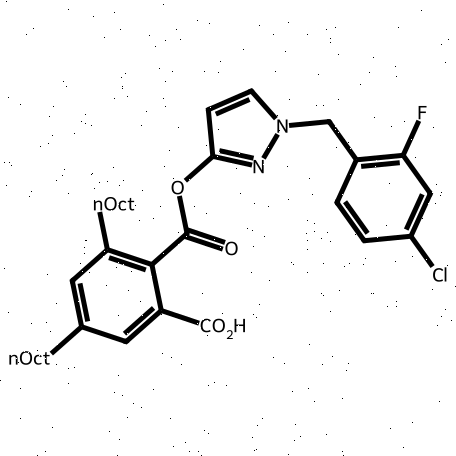 CCCCCCCCc1cc(CCCCCCCC)c(C(=O)Oc2ccn(Cc3ccc(Cl)cc3F)n2)c(C(=O)O)c1